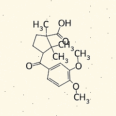 COc1ccc(C(=O)C2CCC(C)(C(=O)O)C2(C)C)cc1OC